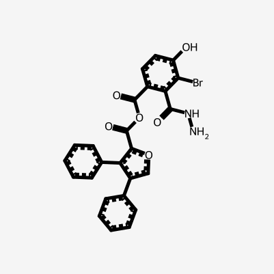 NNC(=O)c1c(C(=O)OC(=O)c2occ(-c3ccccc3)c2-c2ccccc2)ccc(O)c1Br